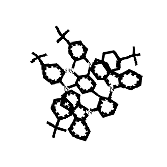 CC(C)(C)C1=CC=C(N2c3ccc(C(C)(C)C)cc3[SH]3c4cc(C(C)(C)C)ccc4N(c4ccc(C(C)(C)C)cc4)c4cc(-c5c(-n6c7ccccc7c7ccccc76)cccc5-n5c6ccccc6c6ccccc65)cc2c43)CC1